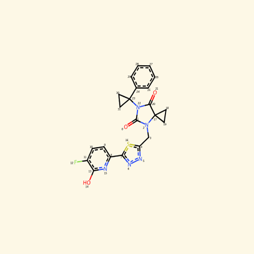 O=C1N(Cc2nnc(-c3ccc(F)c(O)n3)s2)C2(CC2)C(=O)N1C1(c2ccccc2)CC1